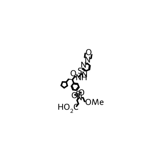 COCCN(CCC(=O)O)S(=O)(=O)c1ccc([C@@H](CC2CCCC2)C(=O)Nc2nc3ccc(N4CCOCC4)nc3s2)cc1